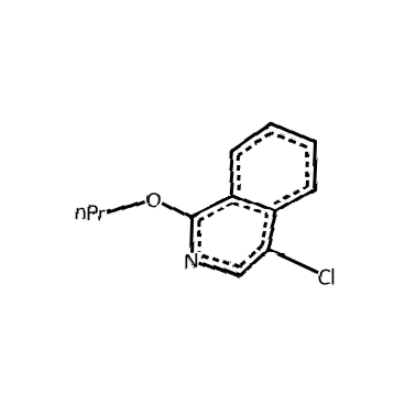 CCCOc1ncc(Cl)c2ccccc12